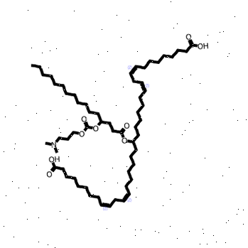 CCCCCCCCCCCCC(CCC(=O)OC(CCCCCC/C=C\C/C=C\CCCCCCCC(=O)O)CCCCCC/C=C\C/C=C\CCCCCCCC(=O)O)OC(=O)OCCCN(C)C